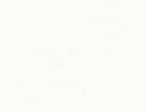 Cc1cc2c(cc1F)c(C#N)c(-c1ccc(S(=O)(=O)N[C@H](C)C(F)(F)F)cn1)n2C1CCCCC1